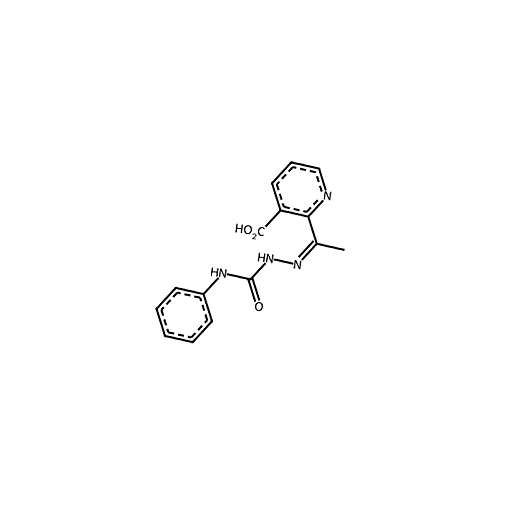 CC(=NNC(=O)Nc1ccccc1)c1ncccc1C(=O)O